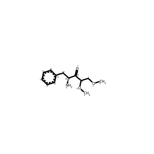 COCC(OC)C(=O)[C@@H](N)Cc1ccccc1